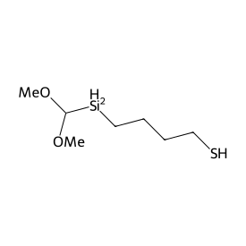 COC(OC)[SiH2]CCCCS